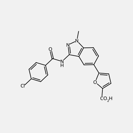 Cn1nc(NC(=O)c2ccc(Cl)cc2)c2cc(-c3ccc(C(=O)O)o3)ccc21